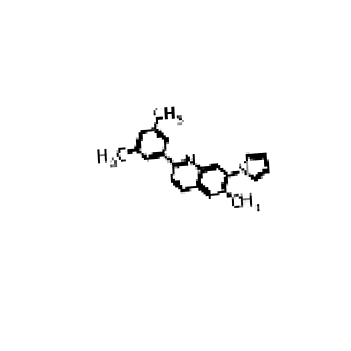 Cc1cc(C)cc(-c2ccc3cc(C)c(-n4cccc4)cc3n2)c1